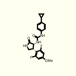 COc1cc(F)c([C@@H]2CNC(=O)[C@@H]2NC(=O)Nc2ccc(C3CC3)cc2)c(F)c1